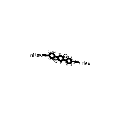 CCCCCCC#Cc1ccc2c(c1)oc1cc3c(cc12)oc1cc(C#CCCCCCC)ccc13